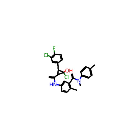 C=C(Nc1ccc(C)c(C(=C)N(C)c2ccc(C)cc2)c1)C1C(c2ccc(F)c(Cl)c2)C1(O)Cl